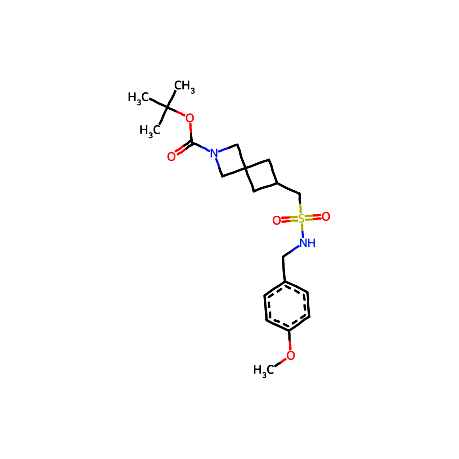 COc1ccc(CNS(=O)(=O)CC2CC3(C2)CN(C(=O)OC(C)(C)C)C3)cc1